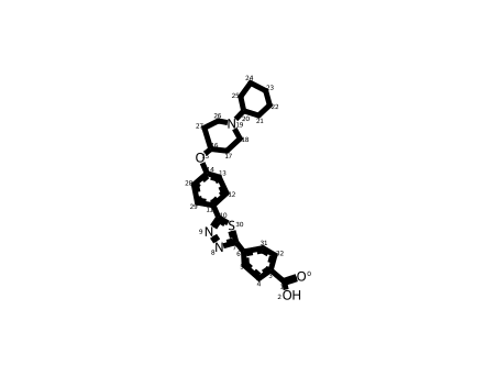 O=C(O)c1ccc(-c2nnc(-c3ccc(OC4CCN(C5CCCCC5)CC4)cc3)s2)cc1